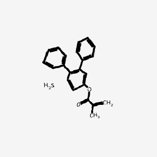 C=C(C)C(=O)Oc1ccc(-c2ccccc2)c(-c2ccccc2)c1.S